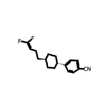 N#Cc1ccc([C@H]2CC[C@H](CCC=C(F)F)CC2)cc1